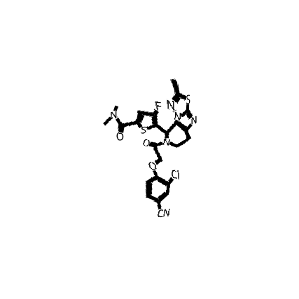 Cc1nn2c3c(nc2s1)CCN(C(=O)COc1ccc(C#N)cc1Cl)C3c1sc(C(=O)N(C)C)cc1F